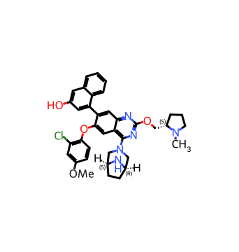 COc1ccc(Oc2cc3c(N4C[C@H]5CC[C@@H](C4)N5)nc(OC[C@@H]4CCCN4C)nc3cc2-c2cc(O)cc3ccccc23)c(Cl)c1